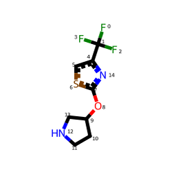 FC(F)(F)c1csc(OC2CCNC2)n1